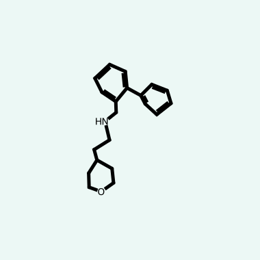 c1ccc(-c2ccccc2CNCCC2CCOCC2)cc1